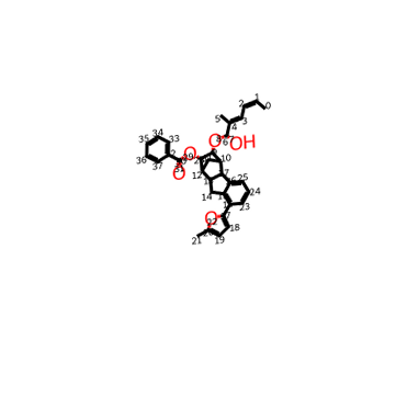 C/C=C\C=C(/C)C(O)OC1C2CC(C3Cc4c(-c5ccc(C)o5)cccc4C32)C1OC(=O)c1ccccc1